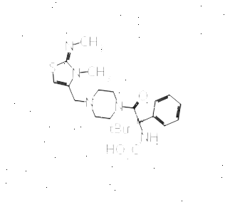 CN=c1scc(CN2CCN(C(=O)[C@](NC(=O)O)(c3ccccc3)C(C)(C)C)CC2)n1C